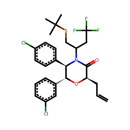 C=CC[C@H]1O[C@H](c2cccc(Cl)c2)[C@@H](c2ccc(Cl)cc2)N(C(CSC(C)(C)C)CC(F)(F)F)C1=O